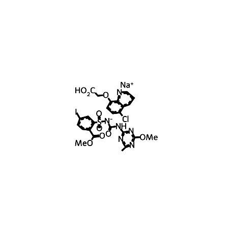 COC(=O)c1ccc(I)cc1S(=O)(=O)[N-]C(=O)Nc1nc(C)nc(OC)n1.O=C(O)COc1ccc(Cl)c2cccnc12.[Na+]